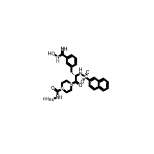 CCCCCCNC(=O)N1CCN(C(=O)[C@H](Cc2cccc(C(=N)NO)c2)NS(=O)(=O)c2ccc3ccccc3c2)CC1